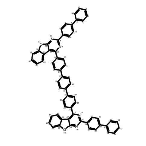 c1ccc(-c2ccc(-c3nc(-c4ccc(-c5ccc(-c6ccc(-c7nc(-c8ccc(-c9ccccc9)cc8)nc8oc9ccccc9c78)cc6)cc5)cc4)c4c(n3)oc3ccccc34)cc2)cc1